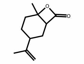 C=C(C)C1CCC2(C)OC(=O)C2C1